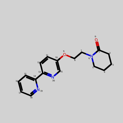 O=C1CCCCN1CCOc1ccc(-c2ccccn2)nc1